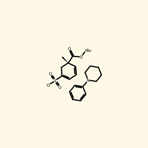 CC(C)(C)OC(=O)[C@]1(C)C=CC=C(S([O])(=O)=O)C1.c1ccc(N2CCCCC2)cc1